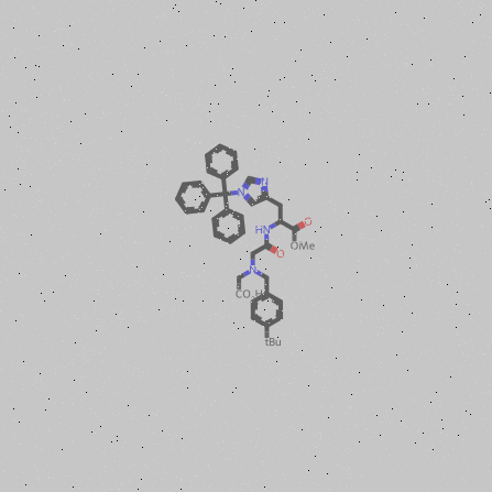 COC(=O)C(Cc1cn(C(c2ccccc2)(c2ccccc2)c2ccccc2)cn1)NC(=O)CN(CC(=O)O)Cc1ccc(C(C)(C)C)cc1